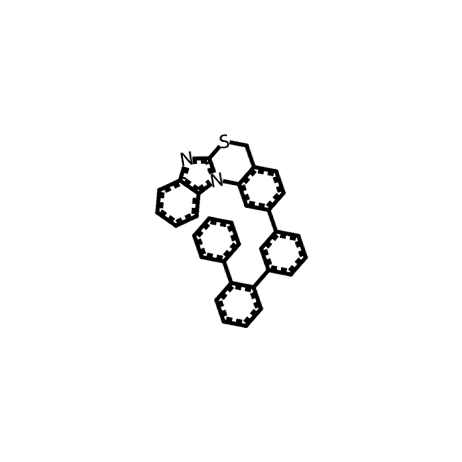 c1ccc(-c2ccccc2-c2cccc(-c3ccc4c(c3)-n3c(nc5ccccc53)SC4)c2)cc1